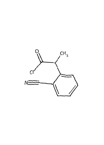 CC(C(=O)Cl)c1ccccc1C#N